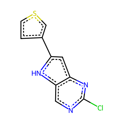 Clc1ncc2[nH]c(-c3ccsc3)cc2n1